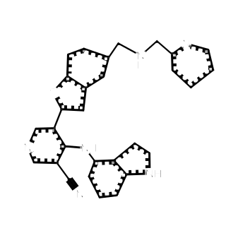 N#Cc1cncc(-c2cc3cc(CNCc4ccccn4)ccc3s2)c1Nc1cccc2[nH]ccc12